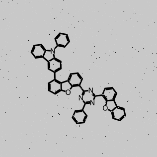 c1ccc(-c2nc(-c3cccc4c3oc3ccccc34)nc(-c3cccc4c3oc3cccc(-c5ccc6c(c5)c5ccccc5n6-c5ccccc5)c34)n2)cc1